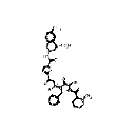 CCC(C)C(NC(=O)C1CCCCN1C)C(=O)N(Cc1ccccc1)[C@H](CC(=O)c1nc(C(=O)N[C@H]2Cc3ccc(C)cc3[C@H](C(=O)O)C2)cs1)C(C)C